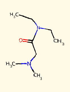 CCN(CC)C(=O)CN(C)C